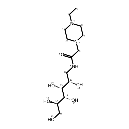 [CH2]CN1CCN(CC(=O)NC[C@H](O)[C@@H](O)[C@H](O)[C@H](O)CO)CC1